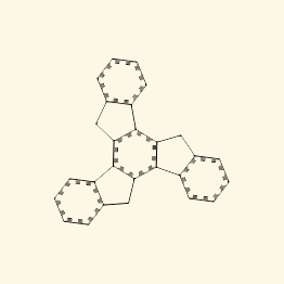 c1ccc2c(c1)Cc1c-2c2c(c3c1-c1ccccc1C3)-c1ccccc1C2